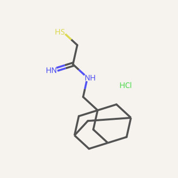 Cl.N=C(CS)NCC12CC3CC(CC(C3)C1)C2